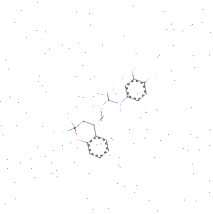 CC(NC[C@@H]1CC(C)(C)Oc2ccccc21)Nc1ccc(Cl)c(Cl)c1